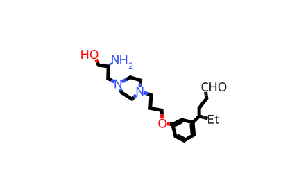 CCC(CCC=O)c1cccc(OCCCN2CCN(C[C@@H](N)CO)CC2)c1